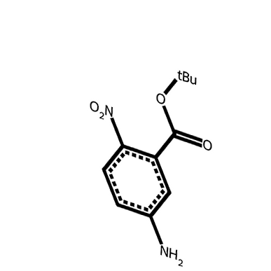 CC(C)(C)OC(=O)c1cc(N)ccc1[N+](=O)[O-]